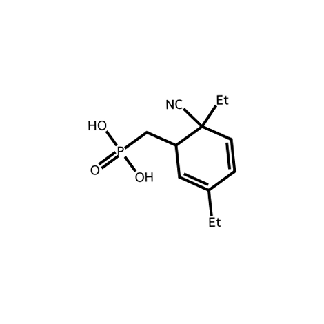 CCC1=CC(CP(=O)(O)O)C(C#N)(CC)C=C1